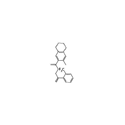 C=C(CCC(=C)c1ccccc1C(F)(F)F)c1cc2c(cc1C)CCCC2